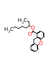 CCCCCC(CC)OC(=O)c1cccc2c1Cc1ccccc1O2